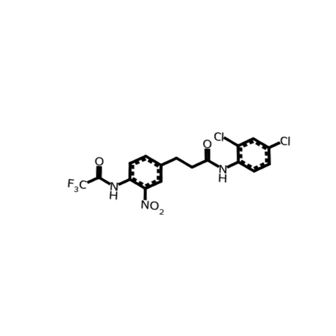 O=C(CCc1ccc(NC(=O)C(F)(F)F)c([N+](=O)[O-])c1)Nc1ccc(Cl)cc1Cl